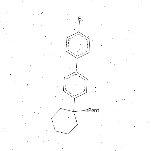 CCCCCC1(c2ccc(-c3ccc(CC)cc3)cc2)CCCCC1